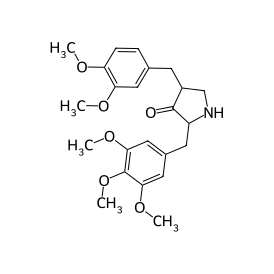 COc1ccc(CC2CNC(Cc3cc(OC)c(OC)c(OC)c3)C2=O)cc1OC